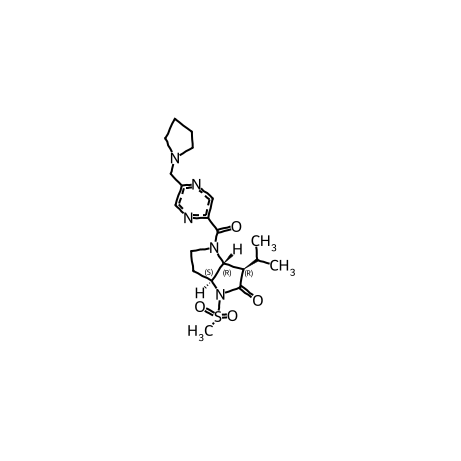 CC(C)[C@H]1C(=O)N(S(C)(=O)=O)[C@H]2CCN(C(=O)c3cnc(CN4CCCC4)cn3)[C@H]12